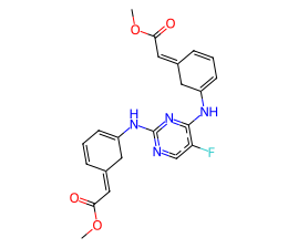 COC(=O)C=C1C=CC=C(Nc2ncc(F)c(NC3=CC=CC(=CC(=O)OC)C3)n2)C1